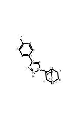 Fc1ccc(-c2cn(C3CN4CCC3CC4)nn2)cc1